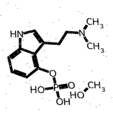 CN(C)CCc1c[nH]c2cccc(OP(=O)(O)O)c12.CO